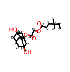 CCC(C)(C)CCC(=O)OCC(=O)OC12CC3CC(O)(CC(O)(C3)C1)C2